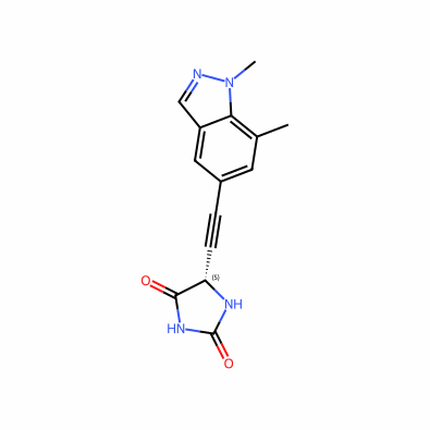 Cc1cc(C#C[C@@H]2NC(=O)NC2=O)cc2cnn(C)c12